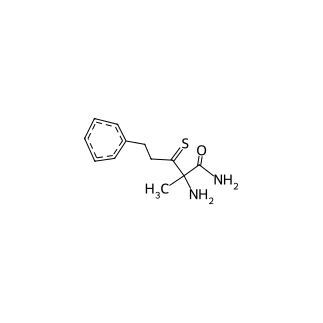 CC(N)(C(N)=O)C(=S)CCc1ccccc1